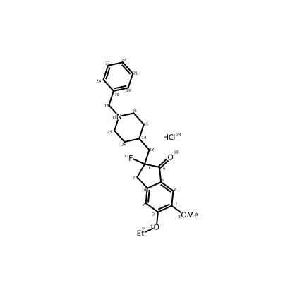 CCOc1cc2c(cc1OC)C(=O)C(F)(CC1CCN(Cc3ccccc3)CC1)C2.Cl